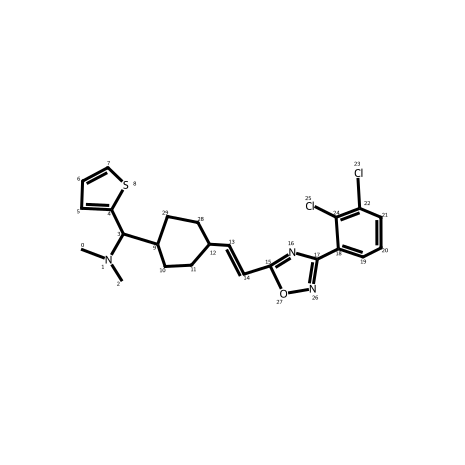 CN(C)C(c1cccs1)C1CCC(C=Cc2nc(-c3cccc(Cl)c3Cl)no2)CC1